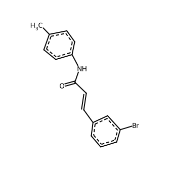 Cc1ccc(NC(=O)/C=C/c2cccc(Br)c2)cc1